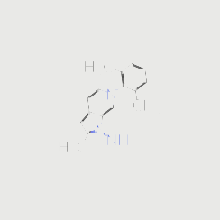 Cc1cccc(C)c1-n1ccc2cc(C)[n+](N)c-2c1